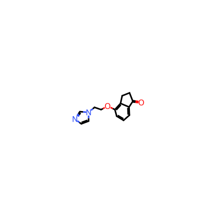 O=C1CCc2c(OCCn3ccnc3)cccc21